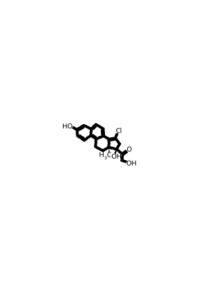 C[C@]12CCc3c(ccc4cc(O)ccc34)C1=C(Cl)C[C@]2(O)C(=O)CO